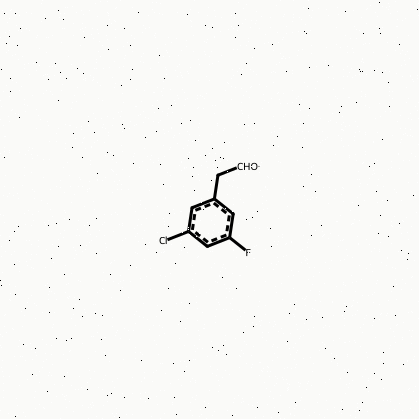 O=[C]Cc1cc(F)cc(Cl)c1